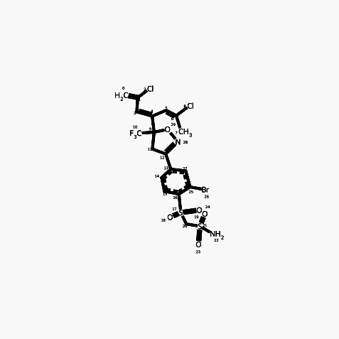 C=C(Cl)/C=C(\C=C(/C)Cl)C1(C(F)(F)F)CC(c2ccc(S(=O)(=O)CS(N)(=O)=O)c(Br)c2)=NO1